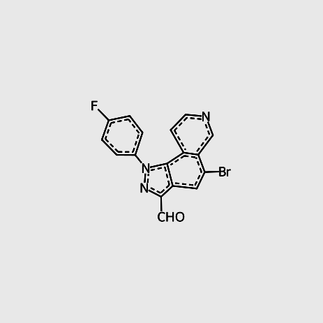 O=Cc1nn(-c2ccc(F)cc2)c2c1cc(Br)c1cnccc12